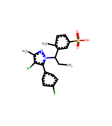 CCC(c1cc(S(=O)(=O)O)ccc1C)n1nc(C)c(Br)c1-c1ccc(F)cc1